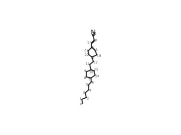 CCCCCCCC1CCC(CCC2CCC(C=CC#N)CC2)CC1